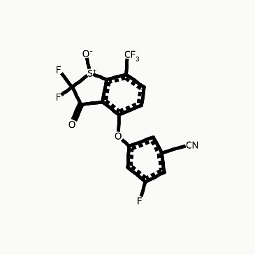 N#Cc1cc(F)cc(Oc2ccc(C(F)(F)F)c3c2C(=O)C(F)(F)[S+]3[O-])c1